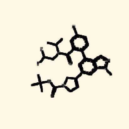 CC(C)N(CC(F)F)C(=O)c1cc(F)ccc1-c1cc(C2=CCN(C(=O)OC(C)(C)C)C2)cc2c1cnn2C